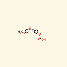 COc1ccc(C(=O)/C=C/c2ccc(OCCC(=O)O)cc2)cc1